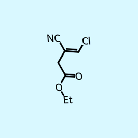 CCOC(=O)CC(C#N)=CCl